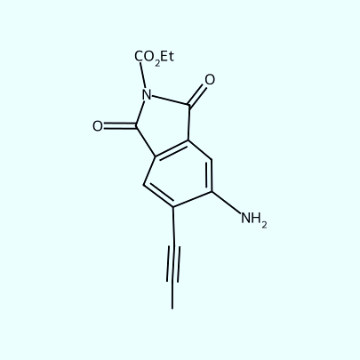 CC#Cc1cc2c(cc1N)C(=O)N(C(=O)OCC)C2=O